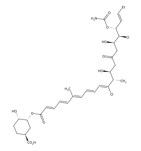 CC/C=C/[C@@H](OC(N)=O)[C@@H](Cl)[C@H](O)CC(=O)C[C@H](O)[C@H](C)/C(Cl)=C/C=C/C=C(C)/C=C/C=C/C(=O)O[C@@H]1C[C@@H](C(=O)O)CC[C@@H]1O